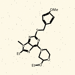 CCOC1CN(c2nc(SCc3ccc(OC)cc3)nc3c2nc(CC)n3C)CCO1